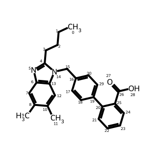 CCCCc1nc2cc(C)c(C)cc2n1Cc1ccc(-c2ccccc2C(=O)O)cc1